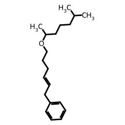 CC(C)CCCC(C)OCCCC=CCc1ccccc1